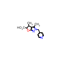 Cc1c2c(nn1Cc1ccncc1)OC(C(=O)O)C2C